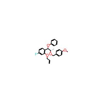 C=CCOc1cc(F)ccc1[C@@H](Oc1ccccc1)[C@H](C)OCc1ccc(OC)cc1